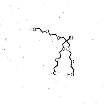 CCC(COCCOCCO)(COCCOCCO)COCCOCCO